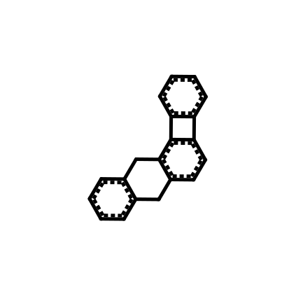 c1ccc2c(c1)Cc1ccc3c(c1C2)-c1ccccc1-3